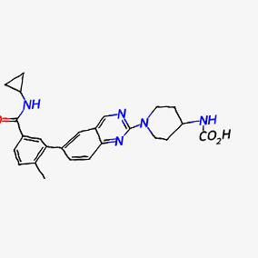 Cc1ccc(C(=O)NC2CC2)cc1-c1ccc2nc(N3CCC(NC(=O)O)CC3)ncc2c1